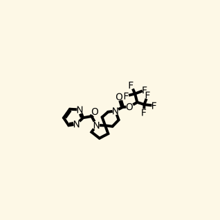 O=C(OC(C(F)(F)F)C(F)(F)F)N1CCC2(CCCN2C(=O)c2ncccn2)CC1